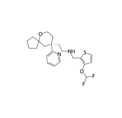 FC(F)Oc1ccsc1CNCC[C@@]1(c2ccccn2)CCOC2(CCCC2)C1